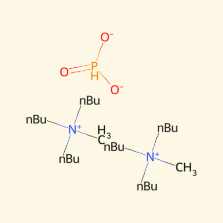 CCCC[N+](C)(CCCC)CCCC.CCCC[N+](C)(CCCC)CCCC.O=[PH]([O-])[O-]